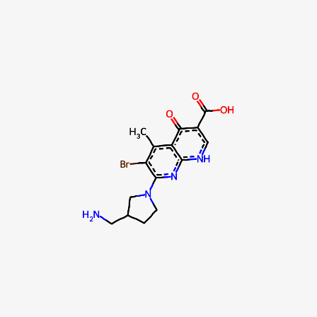 Cc1c(Br)c(N2CCC(CN)C2)nc2[nH]cc(C(=O)O)c(=O)c12